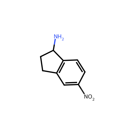 NC1CCc2cc([N+](=O)[O-])ccc21